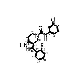 O=C(Nc1cccc(Cl)c1)N1CCc2[nH]nc(-c3ccccc3F)c2C1